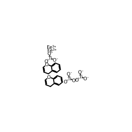 C1=COc2ccccc2C1.C1=COc2ccccc2C1.[Fe+3].[Fe+3].[O]=[Ti]([O-])[O-].[O]=[Ti]([O-])[O-].[O]=[Ti]([O-])[O-]